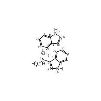 C[SiH](C)c1n[nH]c2ccccc12.c1ccc2[nH]ncc2c1